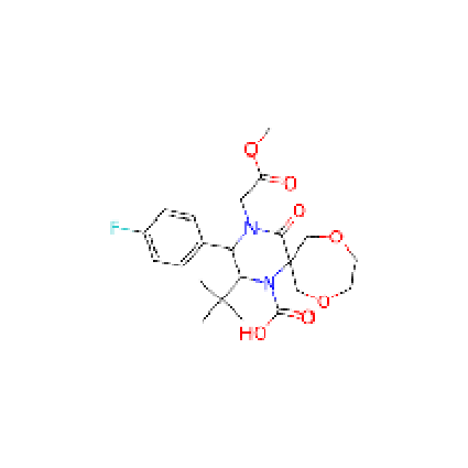 COC(=O)CN1C(=O)C2(COCCOC2)N(C(=O)O)C(C(C)(C)C)C1c1ccc(F)cc1